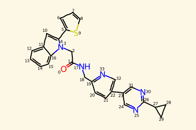 O=C(Cn1c(-c2cccs2)cc2ccccc21)NCc1ccc(-c2cnc(C3CC3)nc2)cn1